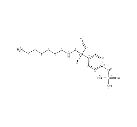 NCCCCCCNCC(F)(C=O)c1ccc(OP(=O)(O)O)cc1